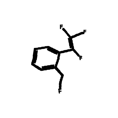 FCc1ccccc1C(F)=C(F)F